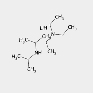 CC(C)NC(C)C.CCN(CC)CC.[LiH]